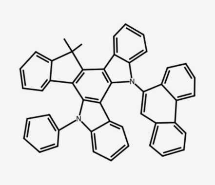 CC1(C)c2ccccc2-c2c1c1c3ccccc3n(-c3cc4ccccc4c4ccccc34)c1c1c3ccccc3n(-c3ccccc3)c21